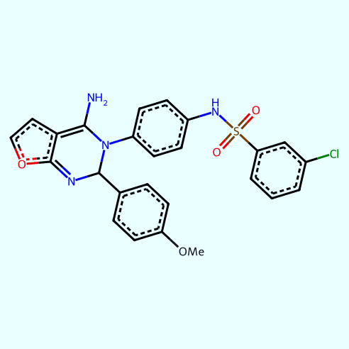 COc1ccc(C2N=c3occc3=C(N)N2c2ccc(NS(=O)(=O)c3cccc(Cl)c3)cc2)cc1